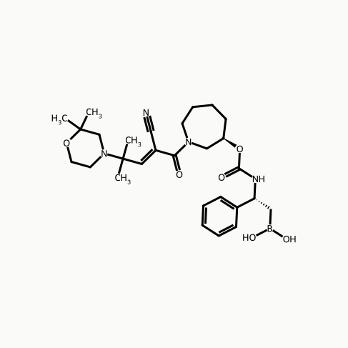 CC1(C)CN(C(C)(C)C=C(C#N)C(=O)N2CCCC[C@@H](OC(=O)N[C@H](CB(O)O)c3ccccc3)C2)CCO1